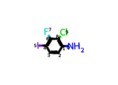 Nc1ccc(I)c(F)c1Cl